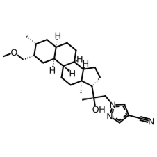 COC[C@H]1C[C@H]2[C@H](CC[C@@H]3[C@@H]2CC[C@@]2(C)[C@H]3CC[C@@H]2[C@@](C)(O)Cn2cc(C#N)cn2)C[C@H]1C